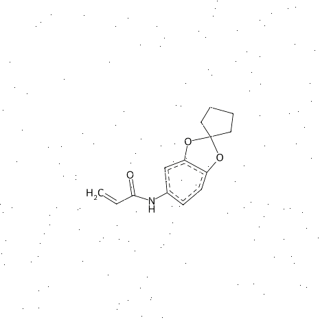 C=CC(=O)Nc1ccc2c(c1)OC1(CCCC1)O2